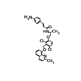 Cc1ccc2cccc(OCc3c(Cl)ccc(OCC(C)NC(=O)/C=C/c4ccc(N)cc4)c3Cl)c2n1